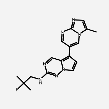 Cc1cnc2ncc(-c3ccn4nc(NCC(C)(C)F)ncc34)cn12